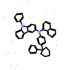 c1ccc(-n2c3ccccc3c3cc(N(c4ccc(C5(c6ccccc6)CCCCC5)cc4)c4cccc5ccccc45)ccc32)cc1